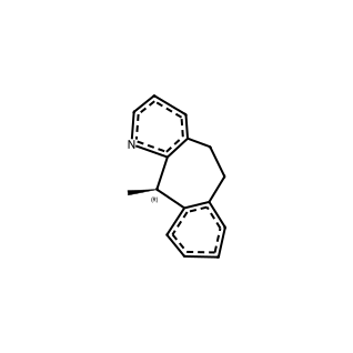 C[C@@H]1c2ccccc2CCc2cccnc21